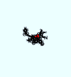 CCCN(CCC)P(OCCC#N)OC1C[C@H](n2nc(C#CCOC(=O)c3ccc(C)cc3)c3c(N=C(C)C)ncnc32)O[C@@H]1COC(c1ccccc1)(c1ccc(OC)cc1)c1ccc(OC)cc1